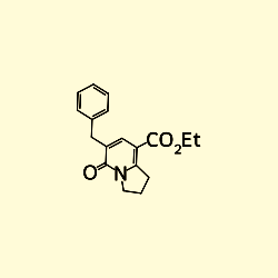 CCOC(=O)c1cc(Cc2ccccc2)c(=O)n2c1CCC2